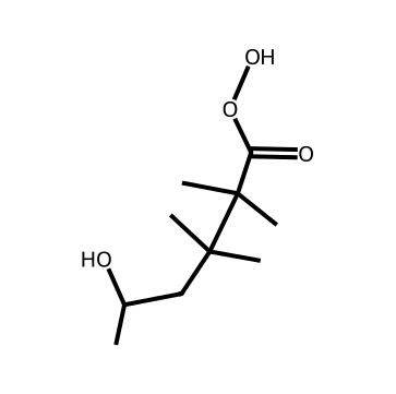 CC(O)CC(C)(C)C(C)(C)C(=O)OO